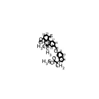 C=C(C(=O)OC)[C@@H]1CCc2ccc(OCc3ccc(-c4cc(OC)ccc4F)c(C(C)(C)C)c3)cc21